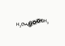 CCCCC[C@@H]1CO[C@@H](c2ccc(-c3ccc(CC)cc3)cc2)CO1